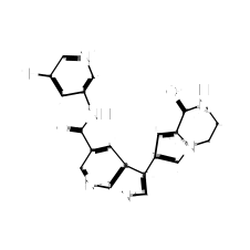 O=C(Nc1cncc(F)c1)c1cnc2[nH]cc(-c3cc4n(c3)CCNC4=O)c2c1